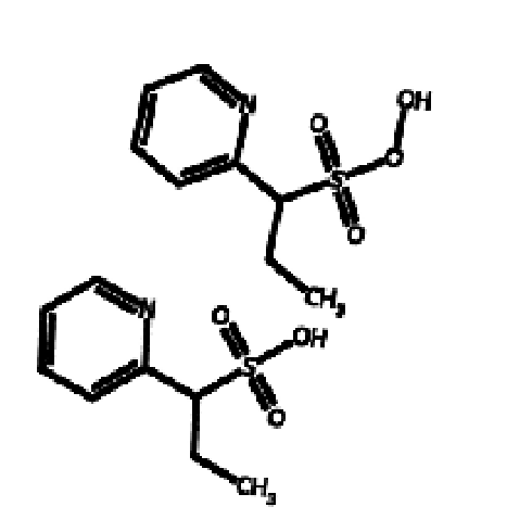 CCC(c1ccccn1)S(=O)(=O)O.CCC(c1ccccn1)S(=O)(=O)OO